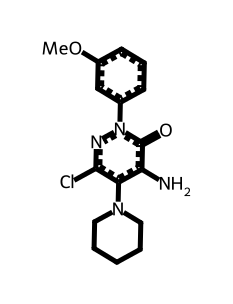 COc1cccc(-n2nc(Cl)c(N3CCCCC3)c(N)c2=O)c1